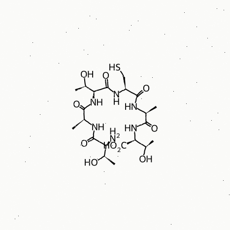 C[C@H](NC(=O)[C@H](CS)NC(=O)[C@@H](NC(=O)[C@H](C)NC(=O)[C@@H](N)[C@@H](C)O)[C@@H](C)O)C(=O)N[C@H](C(=O)O)[C@@H](C)O